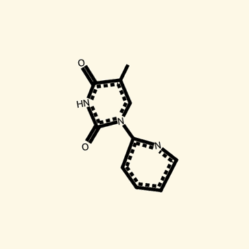 Cc1cn(-c2ccccn2)c(=O)[nH]c1=O